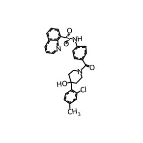 Cc1ccc(C2(O)CCN(C(=O)c3ccc(NS(=O)(=O)c4cccc5cccnc45)cc3)CC2)c(Cl)c1